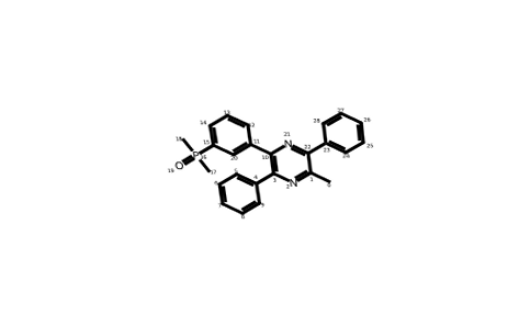 Cc1nc(-c2ccccc2)c(-c2cccc(P(C)(C)=O)c2)nc1-c1ccccc1